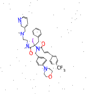 CN(CCN(C)C(=O)C(I)(Cc1ccccc1)N(Cc1ccc(N2CCOCC2)cc1)C(=O)C=Cc1ccc(C(F)(F)F)cc1)Cc1cccnc1